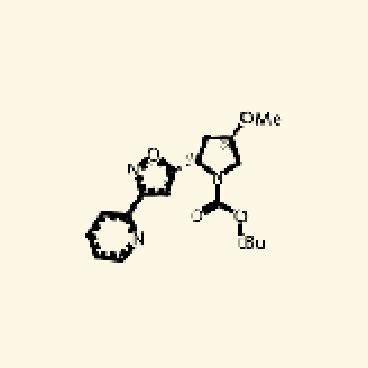 CO[C@@H]1C[C@@H](c2cc(-c3ccccn3)no2)N(C(=O)OC(C)(C)C)C1